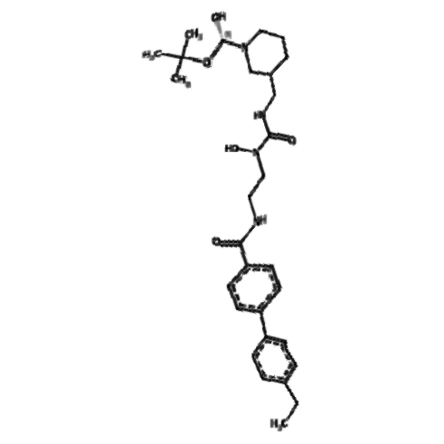 CCc1ccc(-c2ccc(C(=O)NCCN(O)C(=O)NCC3CCCN([C@@H](O)OC(C)(C)C)C3)cc2)cc1